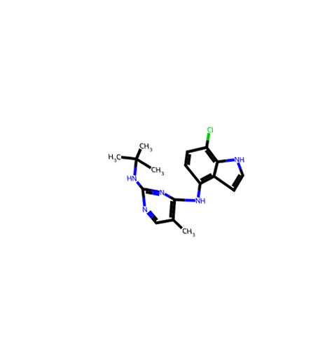 Cc1cnc(NC(C)(C)C)nc1Nc1ccc(Cl)c2[nH]ccc12